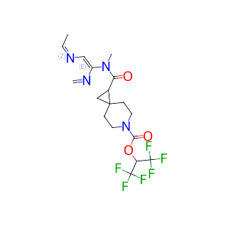 C=N/C(=C\N=C/C)N(C)C(=O)C1CC12CCN(C(=O)OC(C(F)(F)F)C(F)(F)F)CC2